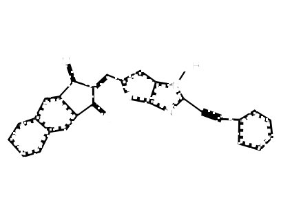 Cn1c(C#Cc2ccccc2)nc2sc(C=C3C(=O)c4cc5ccccc5cc4C3=O)cc21